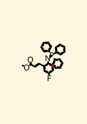 COC(=O)/C=C/c1cc(F)ccc1N=P(c1ccccc1)(c1ccccc1)c1ccccc1